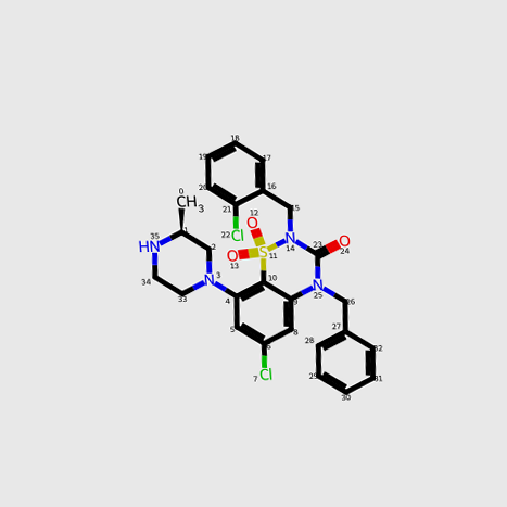 C[C@H]1CN(c2cc(Cl)cc3c2S(=O)(=O)N(Cc2ccccc2Cl)C(=O)N3Cc2ccccc2)CCN1